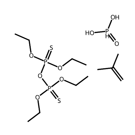 C=C(C)C.CCOP(=S)(OCC)OP(=S)(OCC)OCC.O=[PH](O)O